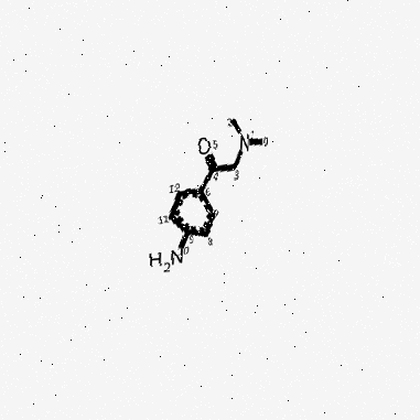 CN(C)CC(=O)c1ccc(N)cc1